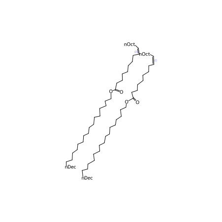 CCCCCCCC/C=C\CCCCCCCC(=O)OCCCCCCCCCCCCCCCCCCCCCCCCCC.CCCCCCCC/C=C\CCCCCCCC(=O)OCCCCCCCCCCCCCCCCCCCCCCCCCC